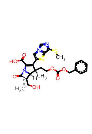 CSc1ncn2cc(C3=C(C(=O)O)N4C(=O)[C@H]([C@@H](C)O)[C@@H]4[C@@]3(C)CCOC(=O)OCc3ccccc3)sc12